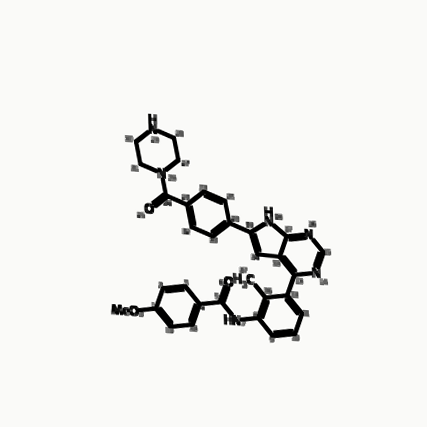 COc1ccc(C(=O)Nc2cccc(-c3ncnc4[nH]c(-c5ccc(C(=O)N6CCNCC6)cc5)cc34)c2C)cc1